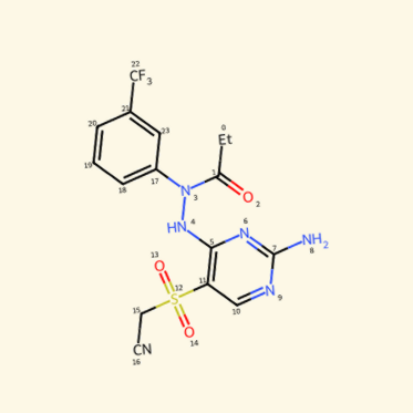 CCC(=O)N(Nc1nc(N)ncc1S(=O)(=O)CC#N)c1cccc(C(F)(F)F)c1